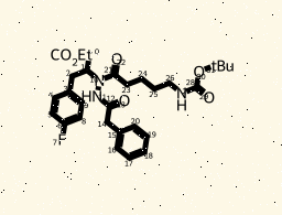 CCOC(=O)C(Cc1ccc(F)cc1)N(NC(=O)Cc1ccccc1)C(=O)CCCCNC(=O)OC(C)(C)C